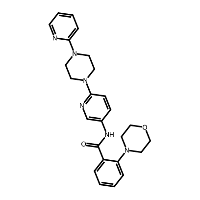 O=C(Nc1ccc(N2CCN(c3ccccn3)CC2)nc1)c1ccccc1N1CCOCC1